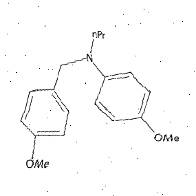 CCCN(Cc1ccc(OC)cc1)c1ccc(OC)cc1